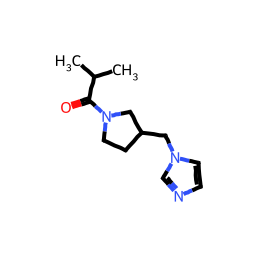 CC(C)C(=O)N1CCC(Cn2ccnc2)C1